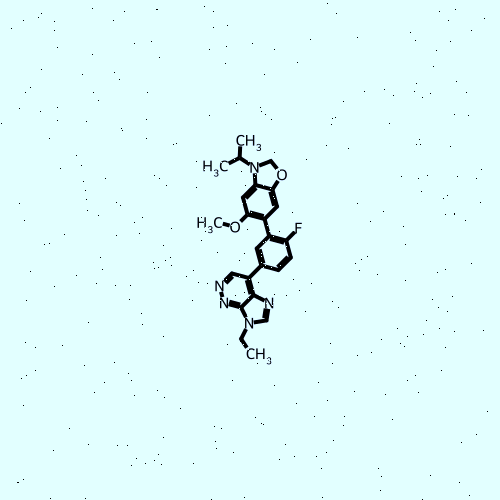 CCn1cnc2c(-c3ccc(F)c(-c4cc5c(cc4OC)N(C(C)C)CO5)c3)cnnc21